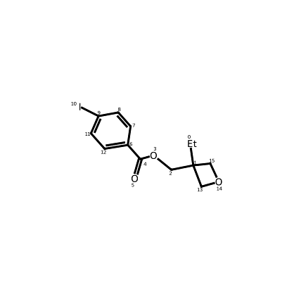 CCC1(COC(=O)c2ccc(I)cc2)COC1